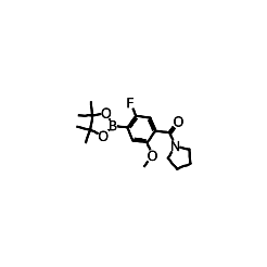 COc1cc(B2OC(C)(C)C(C)(C)O2)c(F)cc1C(=O)N1CCCC1